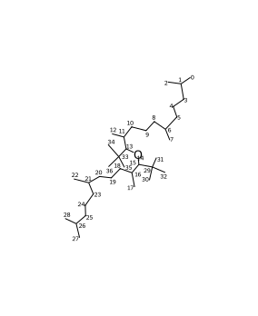 CC(C)CCCC(C)CCCC(C)C(OC(C(C)CCCC(C)CCCC(C)C)C(C)(C)C)C(C)(C)C